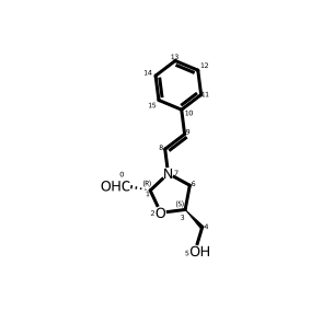 O=C[C@H]1O[C@H](CO)CN1C=Cc1ccccc1